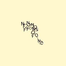 CN(C(=O)C1(N(C=S)c2ccc(F)c(OCCCN3CCOCC3)c2)CCC1)c1cnc(C#N)c(C(F)(F)F)c1